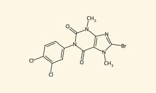 Cn1c(Br)nc2c1c(=O)n(-c1ccc(Cl)c(Cl)c1)c(=O)n2C